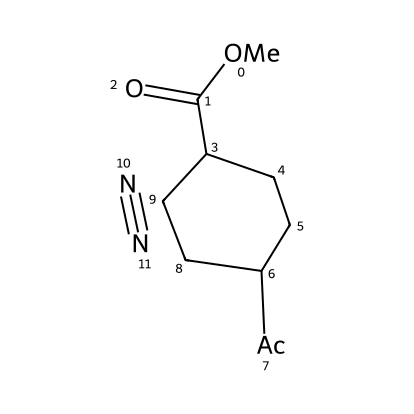 COC(=O)C1CCC(C(C)=O)CC1.N#N